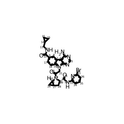 Nc1ncnc2c1c1cc(C(=O)NCC3CC3)ccc1n2CC(=O)N1[C@@H]2CC2C[C@H]1C(=O)Nc1cccc(Br)n1